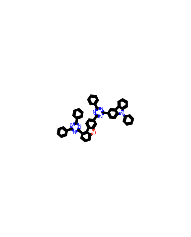 c1ccc(-c2nc(-c3ccc4c(c3)oc3cccc(-c5nc(-c6ccccc6)nc(-c6ccccc6)n5)c34)nc(-c3ccc4c(c3)c3ccccc3n4-c3ccccc3)n2)cc1